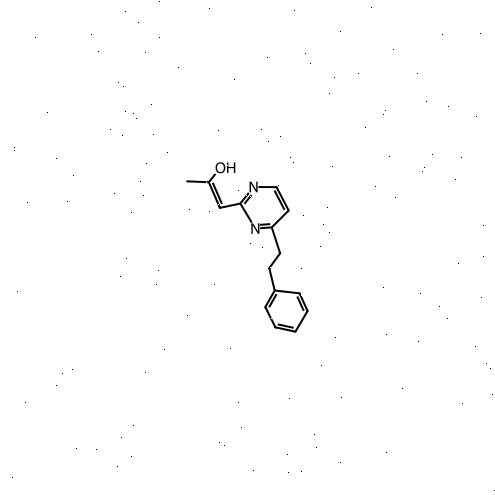 C/C(O)=C/c1nccc(CCc2ccccc2)n1